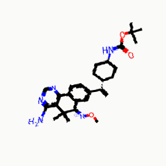 C=C(c1ccc2c(c1)/C(=N\OC)C(C)(C)c1c(N)ncnc1-2)[C@H]1CC[C@H](NC(=O)OC(C)(C)C)CC1